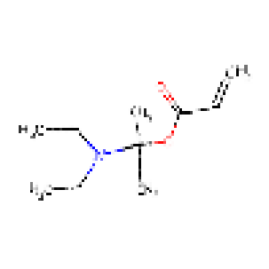 C=CC(=O)OC(C)(C)N(CC)CC